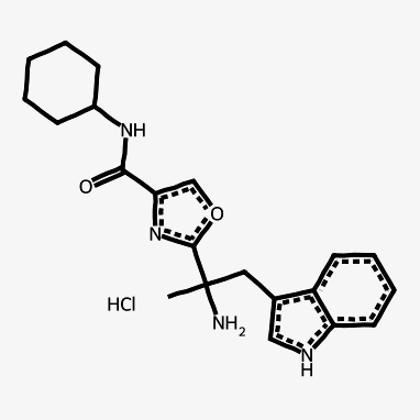 CC(N)(Cc1c[nH]c2ccccc12)c1nc(C(=O)NC2CCCCC2)co1.Cl